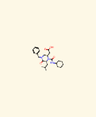 CC(C)C[C@H]1C(=O)N(Cc2ccccc2)CC(CC(=O)O)N1C(=O)NC1CCCCC1